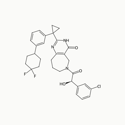 O=C([C@H](O)c1cccc(Cl)c1)N1CCCc2nc(C3(c4cccc(C5CCC(F)(F)CC5)c4)CC3)[nH]c(=O)c2C1